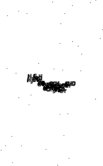 CC(C)CC(C(=O)NC(C)(C)C(=O)NC(C)(C)C(=O)NCCC(=O)NCCN(C)C)N(C(=O)CNC=O)C(C)C